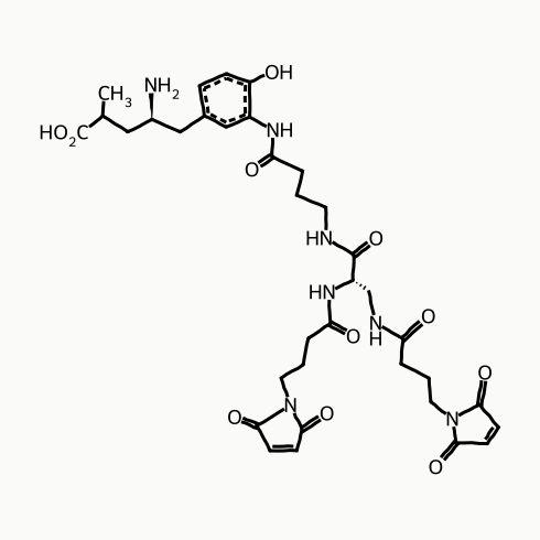 CC(C[C@@H](N)Cc1ccc(O)c(NC(=O)CCCNC(=O)[C@H](CNC(=O)CCCN2C(=O)C=CC2=O)NC(=O)CCCN2C(=O)C=CC2=O)c1)C(=O)O